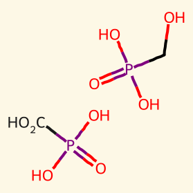 O=C(O)P(=O)(O)O.O=P(O)(O)CO